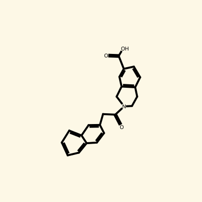 O=C(O)c1ccc2c(c1)CN(C(=O)Cc1ccc3ccccc3c1)CC2